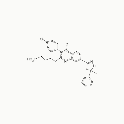 CC1(c2ccccc2)CC(c2ccc3c(=O)n(-c4ccc(Cl)cc4)c(CCCCC(=O)O)nc3c2)=NO1